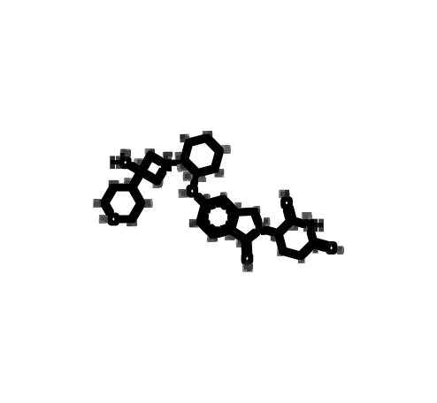 O=C1CCC(N2Cc3cc(O[C@@H]4CCCC[C@H]4N4CC(O)(C5CCOCC5)C4)ccc3C2=O)C(=O)N1